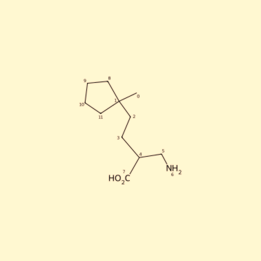 CC1(CCC(CN)C(=O)O)CCCC1